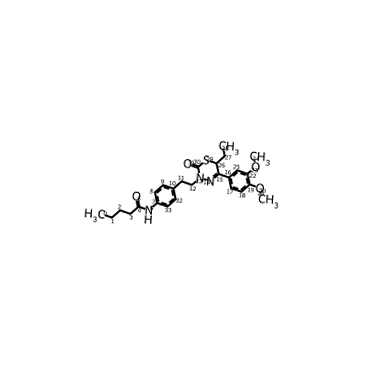 CCCCC(=O)Nc1ccc(CCN2N=C(c3ccc(OC)c(OC)c3)C(CC)SC2=O)cc1